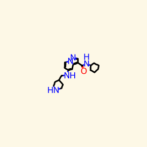 O=C(NC1CCCCC1)c1cnn2ccc(NCC3CCNCC3)cc12